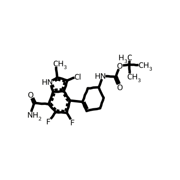 Cc1[nH]c2c(C(N)=O)c(F)c(F)c(C3=CCCC(NC(=O)OC(C)(C)C)C3)c2c1Cl